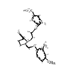 COc1ccc(OC[C@H]2CCC(=O)N2CCSc2nc(C(=O)O)cs2)c([N+](=O)[O-])c1